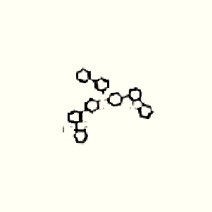 CC12C=CC=CC1Oc1c(C3=CCC(N(c4cccc(C5=CCCC=C5)c4)C4(C)CCC(C5=C6Oc7ccccc7C6CC=C5)CC4)C=C3)cccc12